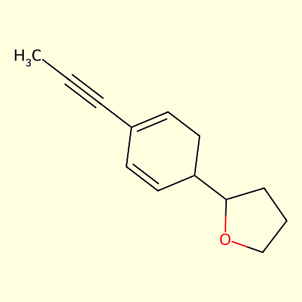 CC#CC1=CCC(C2CCCO2)C=C1